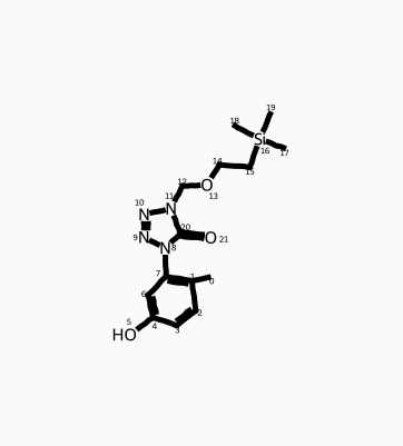 Cc1ccc(O)cc1-n1nnn(COCC[Si](C)(C)C)c1=O